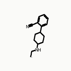 [CH2]CNC1CCC(c2ccccc2C#N)CC1